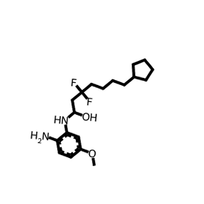 COc1ccc(N)c(NC(O)CC(F)(F)CCCCC2CCCC2)c1